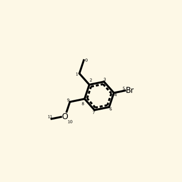 CCc1cc(Br)ccc1COC